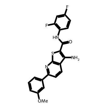 COc1cccc(-c2ccc3c(N)c(C(=O)Nc4ccc(F)cc4F)sc3n2)c1